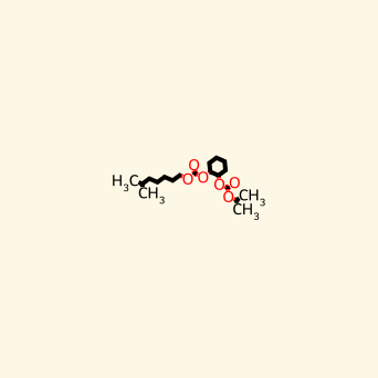 CC(C)CCCCCOC(=O)OC1CCCCC1OC(=O)OC(C)C